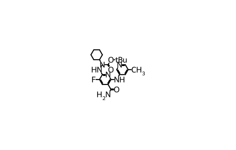 Cc1cncc(Nc2nc(NN(C(=O)OC(C)(C)C)C3CCCCC3)c(F)cc2C(N)=O)c1